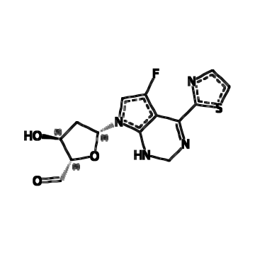 O=C[C@H]1O[C@@H](n2cc(F)c3c2NCN=C3c2nccs2)C[C@@H]1O